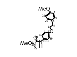 COc1ccc(CCOc2ccc(NC(=O)N(C)OC)cc2)cc1